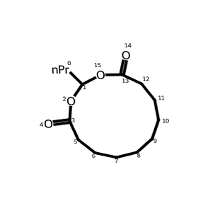 CCCC1OC(=O)CCCCCCCCC(=O)O1